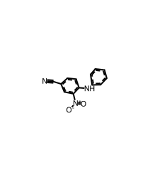 N#Cc1ccc(Nc2ccccc2)c([N+](=O)[O-])c1